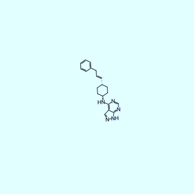 C(=C\[C@H]1CC[C@H](Nc2ncnc3[nH]ncc23)CC1)/Cc1ccccc1